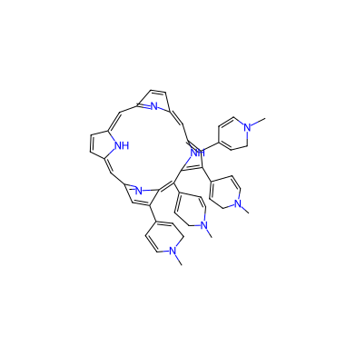 CN1C=CC(C2=Cc3cc4ccc(cc5nc(cc6[nH]c(c(C7=CCN(C)C=C7)c2n3)c(C2=CCN(C)C=C2)c6C2=CCN(C)C=C2)C=C5)[nH]4)=CC1